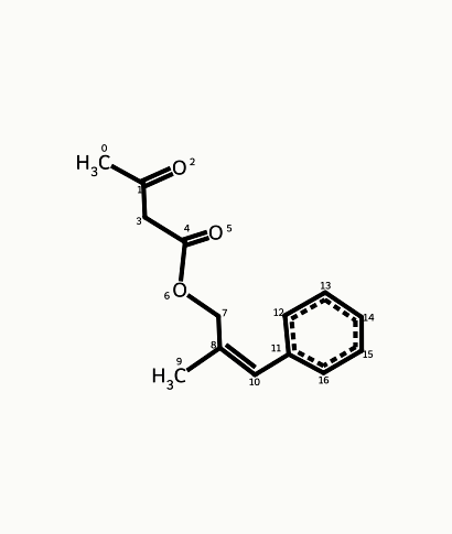 CC(=O)CC(=O)OCC(C)=Cc1ccccc1